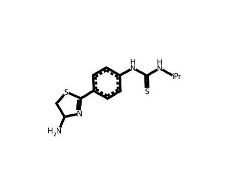 CC(C)NC(=S)Nc1ccc(C2=NC(N)CS2)cc1